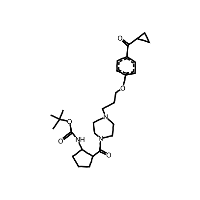 CC(C)(C)OC(=O)NC1CCCC1C(=O)N1CCN(CCCOc2ccc(C(=O)C3CC3)cc2)CC1